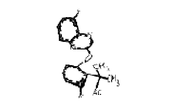 CC(=O)C(C)(C)c1c(F)cccc1Oc1cnc2c(F)cccc2n1